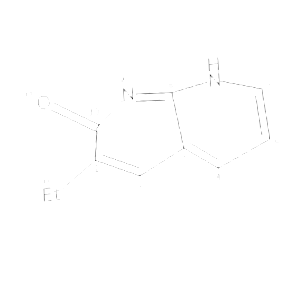 CCc1cc2ccc[nH]c-2nc1=O